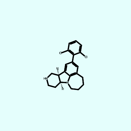 Clc1cccc(Cl)c1-c1cc2c3c(c1)[C@@H]1CNCC[C@@H]1N3CCCC2